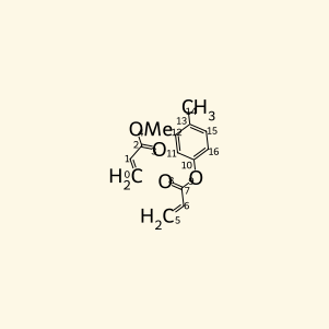 C=CC(=O)OC.C=CC(=O)Oc1ccc(C)cc1